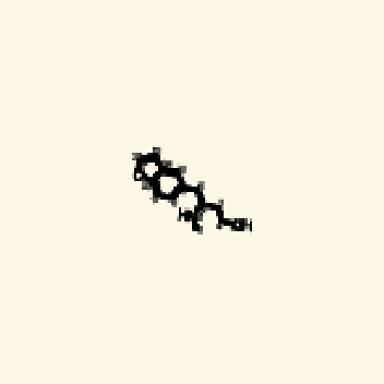 CNC(CCO)Cc1ccc2occc2c1